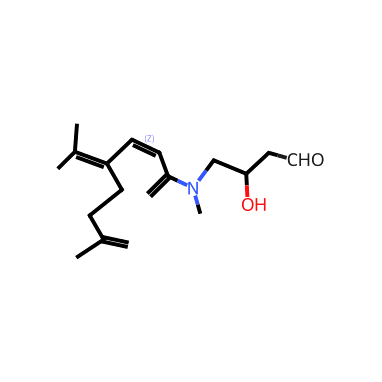 C=C(C)CCC(/C=C\C(=C)N(C)CC(O)CC=O)=C(C)C